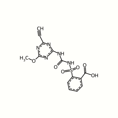 C#Cc1nc(NC(=O)NS(=O)(=O)c2ccccc2C(=O)O)nc(OC)n1